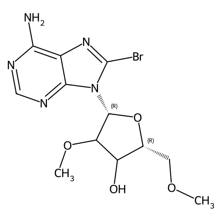 COC[C@H]1O[C@@H](n2c(Br)nc3c(N)ncnc32)C(OC)C1O